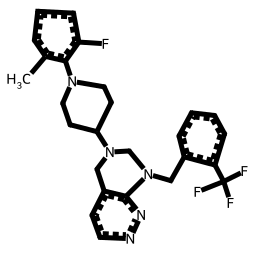 Cc1cccc(F)c1N1CCC(N2Cc3ccnnc3N(Cc3ccccc3C(F)(F)F)C2)CC1